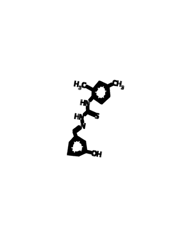 Cc1ccc(NC(=S)NN=Cc2cccc(O)c2)c(C)c1